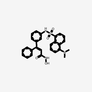 CN(C)c1cccc2c(S(=O)(=O)Nc3cccc(C(=CC(=O)NO)c4ccccc4)c3)cccc12